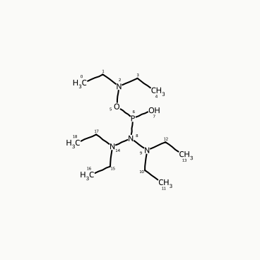 CCN(CC)OP(O)N(N(CC)CC)N(CC)CC